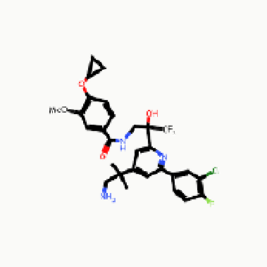 COc1cc(C(=O)NCC(O)(c2cc(C(C)(C)CN)cc(-c3ccc(F)c(Cl)c3)n2)C(F)(F)F)ccc1OC1CC1